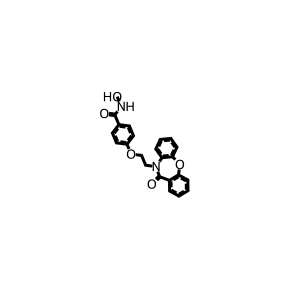 O=C(NO)c1ccc(OCCN2C(=O)c3ccccc3Oc3ccccc32)cc1